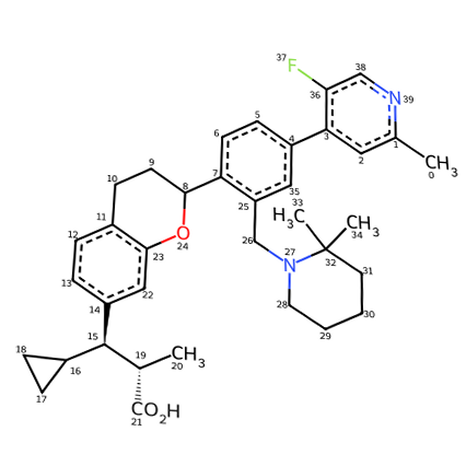 Cc1cc(-c2ccc(C3CCc4ccc([C@H](C5CC5)[C@H](C)C(=O)O)cc4O3)c(CN3CCCCC3(C)C)c2)c(F)cn1